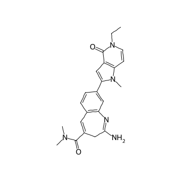 CCn1ccc2c(cc(-c3ccc4c(c3)N=C(N)CC(C(=O)N(C)C)=C4)n2C)c1=O